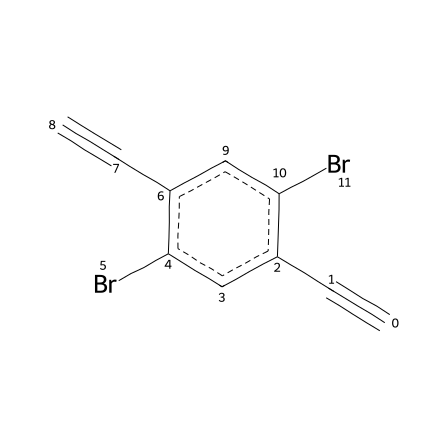 C#Cc1cc(Br)c(C#C)cc1Br